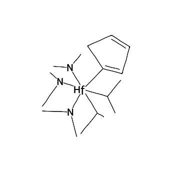 C[CH](C)[Hf]([C]1=CC=CC1)([CH](C)C)([N](C)C)([N](C)C)[N](C)C